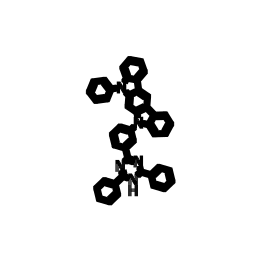 C1=CC(C2=NC(c3cccc(-n4c5ccccc5c5cc6c7ccccc7n(-c7ccccc7)c6cc54)c3)=NC(c3ccccc3)N2)=CCC1